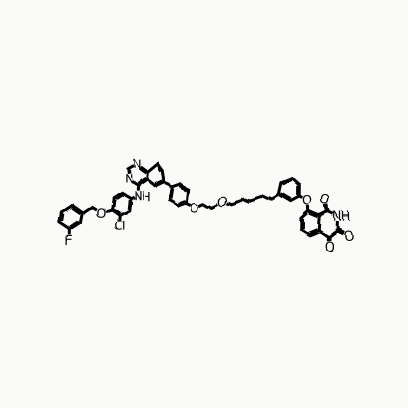 O=C1NC(=O)c2c(Oc3cccc(CCCCCOCCOc4ccc(-c5ccc6ncnc(Nc7ccc(OCc8cccc(F)c8)c(Cl)c7)c6c5)cc4)c3)cccc2C1=O